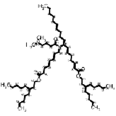 CCCCCCCCCCC(CCCCC=CC(=O)OCCC(CCCCC)CCCCC)N(CCCCCCCC(=O)OCCC(CCCCC)CCCCC)C(=O)CCCN(C)C